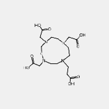 O=C(O)CCN1CCN(CC(=O)O)CCN(CC(=O)O)CCN(CC(=O)O)CC1